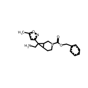 Cc1cc(C2(CN)C3CCN(C(=O)OCc4ccccc4)CC32)no1